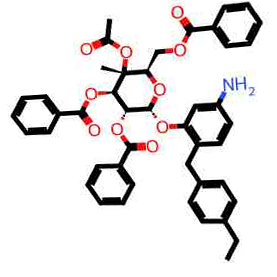 CCc1ccc(Cc2ccc(N)cc2O[C@H]2O[C@H](COC(=O)c3ccccc3)[C@@](C)(OC(C)=O)[C@H](OC(=O)c3ccccc3)[C@H]2OC(=O)c2ccccc2)cc1